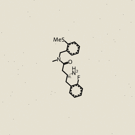 CSc1ccccc1CN(C)C(=O)C[C@H](N)Cc1ccccc1F